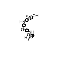 Cn1cccc1C(=O)Nc1ccc(C(=O)c2ccc(Nc3ccc(N4CCC(O)CC4)c(F)c3)cc2)cc1